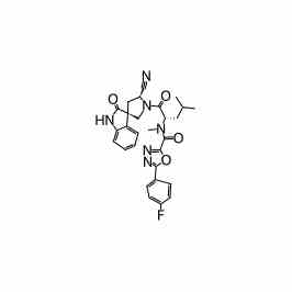 CC(C)C[C@@H](C(=O)N1C[C@]2(C[C@H]1C#N)C(=O)Nc1ccccc12)N(C)C(=O)c1nnc(-c2ccc(F)cc2)o1